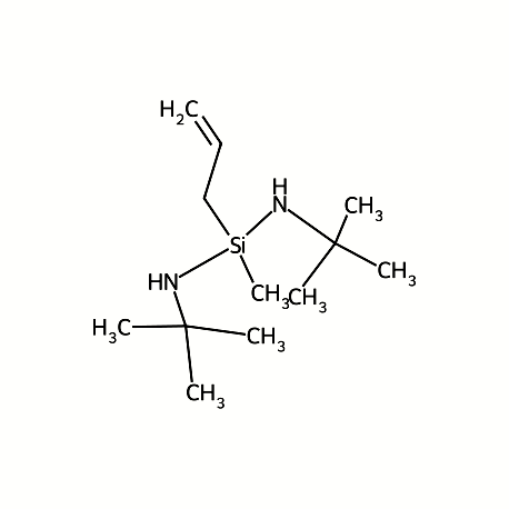 C=CC[Si](C)(NC(C)(C)C)NC(C)(C)C